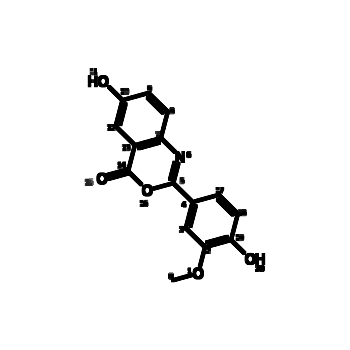 COc1cc(-c2nc3ccc(O)cc3c(=O)o2)ccc1O